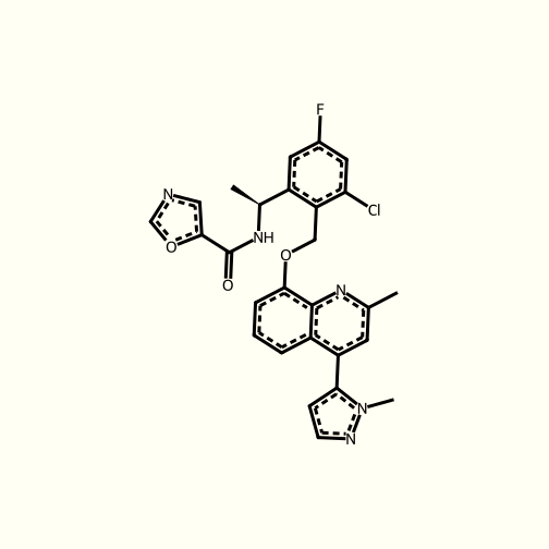 Cc1cc(-c2ccnn2C)c2cccc(OCc3c(Cl)cc(F)cc3[C@H](C)NC(=O)c3cnco3)c2n1